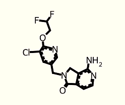 Nc1nccc2c1CN(Cc1cnc(OCC(F)F)c(Cl)c1)C2=O